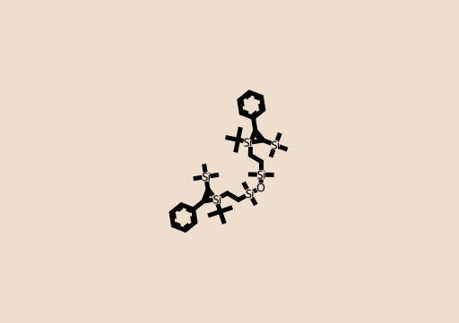 CC(C)(C)[Si]1(CC[Si](C)(C)O[Si](C)(C)CC[Si]2(C(C)(C)C)C(c3ccccc3)=C2[Si](C)(C)C)C(c2ccccc2)=C1[Si](C)(C)C